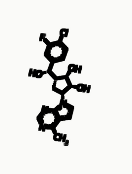 Cc1ncnc2c1ccn2[C@@H]1C[C@H]([C@H](O)c2ccc(Cl)c(F)c2)[C@@H](O)[C@H]1O